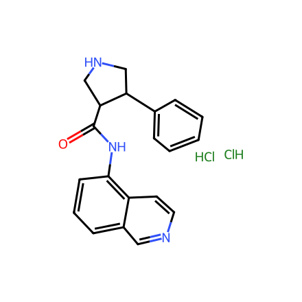 Cl.Cl.O=C(Nc1cccc2cnccc12)C1CNCC1c1ccccc1